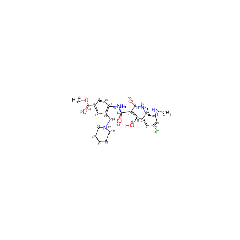 CNc1cc(F)cc2c(O)c(C(=O)Nc3ccc(C(=O)OC)cc3CN3CCCCC3)c(=O)[nH]c12